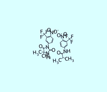 CC(C)C(=O)Nc1ccc([N+](=O)[O-])c(C(F)(F)F)c1.CC1(C)NC(=O)N(c2ccc([N+](=O)[O-])c(C(F)(F)F)c2)C1=O